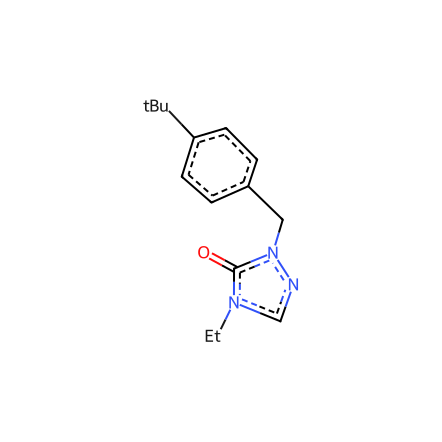 CCn1cnn(Cc2ccc(C(C)(C)C)cc2)c1=O